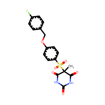 CC1(S(=O)(=O)c2ccc(OCc3ccc(F)cc3)cc2)C(=O)NC(=O)NC1=O